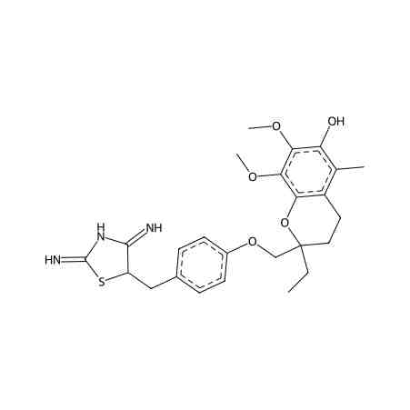 CCC1(COc2ccc(CC3SC(=N)NC3=N)cc2)CCc2c(C)c(O)c(OC)c(OC)c2O1